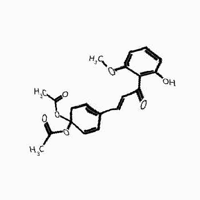 COc1cccc(O)c1C(=O)/C=C/C1=CCC(OC(C)=O)(OC(C)=O)C=C1